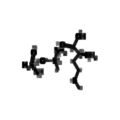 CSCC[C@H](N)C(=O)O.C[S+](N)[O-].N=[SH2]=O